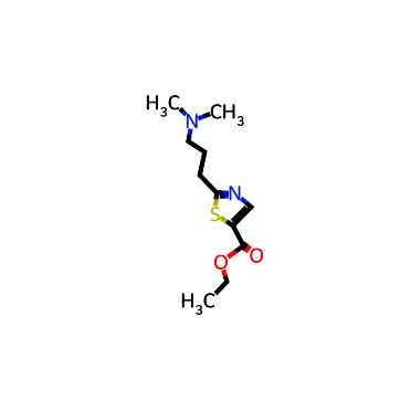 CCOC(=O)c1cnc(CCCN(C)C)s1